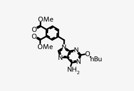 CCCCOc1nc(N)c2ncn(Cc3ccc(C(=O)OC)c(C(=O)OC)c3)c2n1